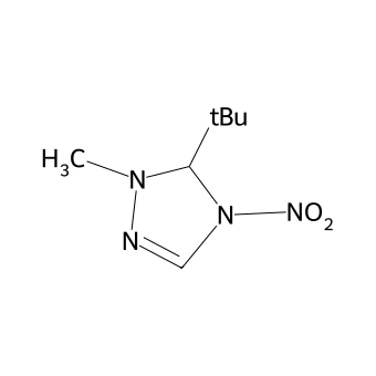 CN1N=CN([N+](=O)[O-])C1C(C)(C)C